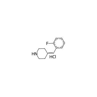 Cl.Fc1ccccc1C=C1CCNCC1